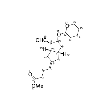 COC(=O)CC/C=C1/C[C@H]2C[C@@H](OC3CCCCO3)[C@H](C=O)[C@H]2C1